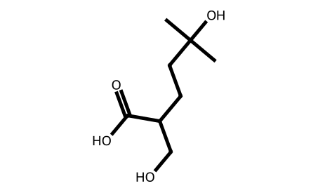 CC(C)(O)CCC(CO)C(=O)O